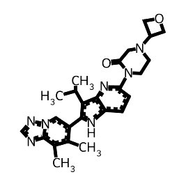 Cc1c(-c2[nH]c3ccc(N4CCN(C5COC5)CC4=O)nc3c2C(C)C)cn2ncnc2c1C